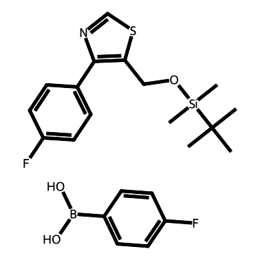 CC(C)(C)[Si](C)(C)OCc1scnc1-c1ccc(F)cc1.OB(O)c1ccc(F)cc1